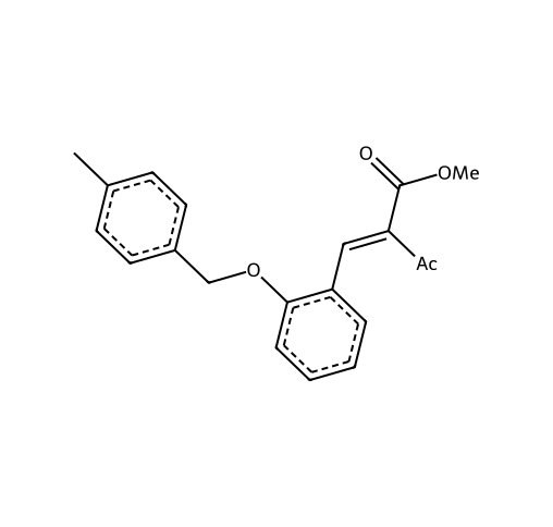 COC(=O)/C(=C/c1ccccc1OCc1ccc(C)cc1)C(C)=O